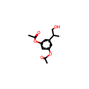 [CH2]C(CO)c1cc(OC(C)=O)cc(OC(C)=O)c1